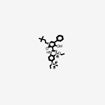 CCOP1(=O)N=C(c2c(O)c(-c3ccccc3)cn(CCC(C)(C)C)c2=O)Nc2ccc(N(CC)S(C)(=O)=O)cc21